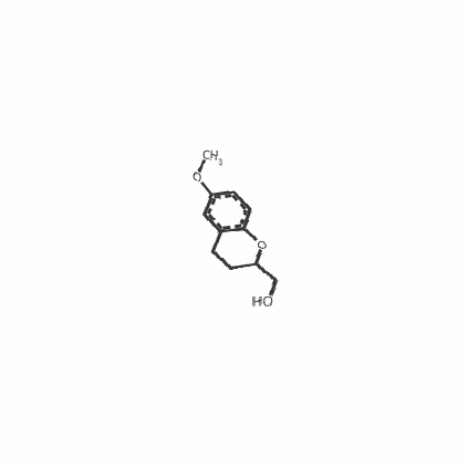 COc1ccc2c(c1)CCC(CO)O2